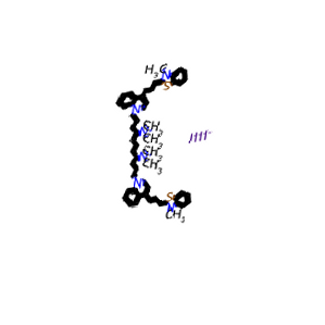 CN1/C(=C/C=C/c2cc[n+](CCCC(CCCC(CCC[n+]3ccc(/C=C/C=C4\Sc5ccccc5N4C)c4ccccc43)=[N+](C)C)=[N+](C)C)c3ccccc23)Sc2ccccc21.[I-].[I-].[I-].[I-]